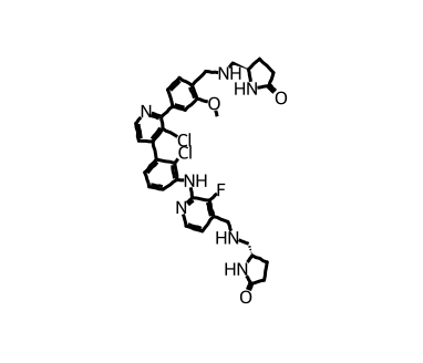 COc1cc(-c2nccc(-c3cccc(Nc4nccc(CNC[C@@H]5CCC(=O)N5)c4F)c3Cl)c2Cl)ccc1CNC[C@H]1CCC(=O)N1